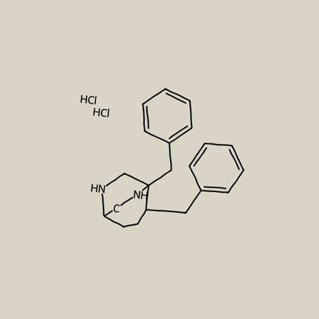 Cl.Cl.c1ccc(CC2CCC3CNC2(Cc2ccccc2)CN3)cc1